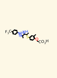 C/C(=N/Nc1ccc(C(F)(F)F)cc1)C(=N)C(C)Sc1ccc(OCC(=O)O)c(C)c1